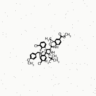 COC(=O)c1ccc(NC(=O)[C@H]2N[C@H](CC(C)(C)C)[C@@](CNCc3ccc(OC)cc3)(c3ccc(Cl)cc3F)[C@@H]2c2cccc(Cl)c2F)c(OC)c1